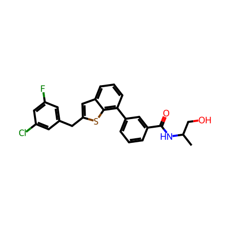 CC(CO)NC(=O)c1cccc(-c2cccc3cc(Cc4cc(F)cc(Cl)c4)sc23)c1